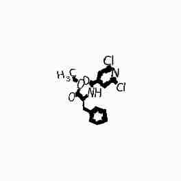 CCOC(=O)[C@H](Cc1ccccc1)NC(=O)c1cc(Cl)nc(Cl)c1